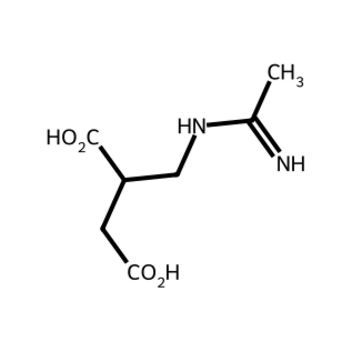 CC(=N)NCC(CC(=O)O)C(=O)O